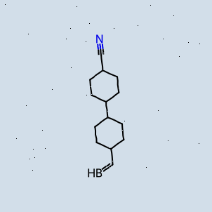 B=CC1CCC(C2CCC(C#N)CC2)CC1